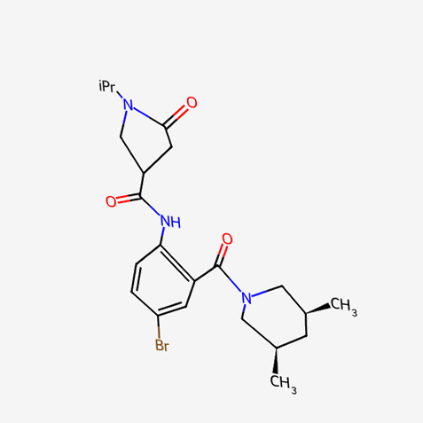 CC(C)N1CC(C(=O)Nc2ccc(Br)cc2C(=O)N2C[C@H](C)C[C@H](C)C2)CC1=O